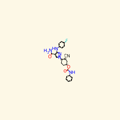 N#C[C@@H]1C[C@@H](OC(=O)Nc2ccccc2)CC[C@H]1n1cc(C(N)=O)c(Nc2ccc(F)cc2)n1